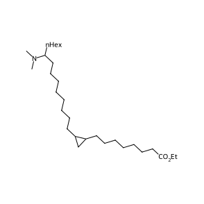 CCCCCCC(CCCCCCCCC1CC1CCCCCCCC(=O)OCC)N(C)C